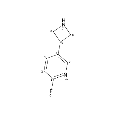 Fc1ccc(C2CNC2)cn1